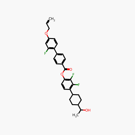 C=CCOc1ccc(-c2ccc(C(=O)Oc3ccc(C4CCC(C(C)O)CC4)c(F)c3F)cc2)c(F)c1